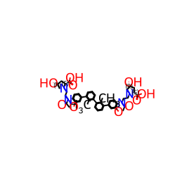 Cc1c(-c2ccc3c(c2)OCC(=O)N3CCN2C[C@H](O)C[C@H]2C(=O)O)cccc1-c1cccc(-c2ccc3c(c2)OCC(=O)N3CCN2C[C@H](O)C[C@H]2C(=O)O)c1C